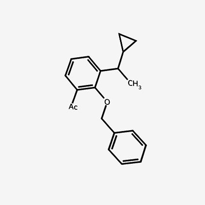 CC(=O)c1cccc(C(C)C2CC2)c1OCc1ccccc1